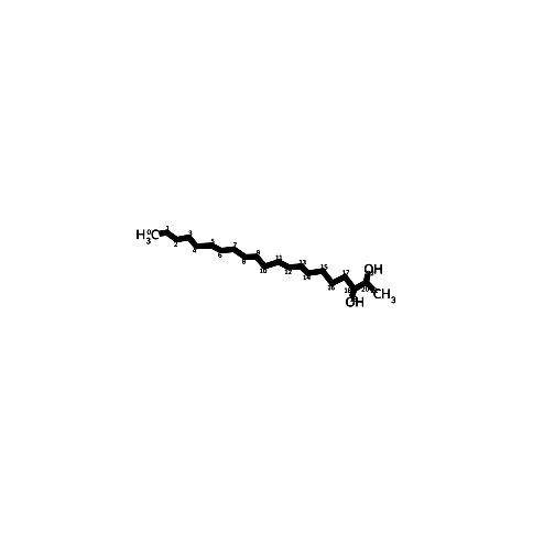 CCCCCCCCCCCCCCCCCCC(O)C(C)O